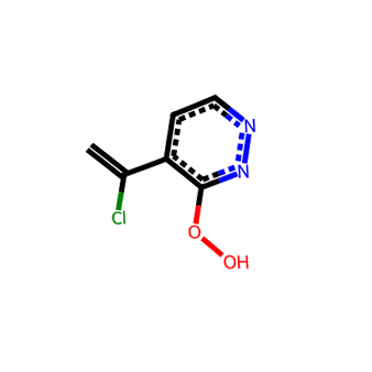 C=C(Cl)c1ccnnc1OO